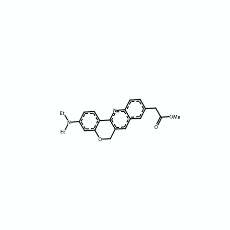 CCN(CC)c1ccc2c(c1)OCc1cc3cc(CC(=O)OC)ccc3nc1-2